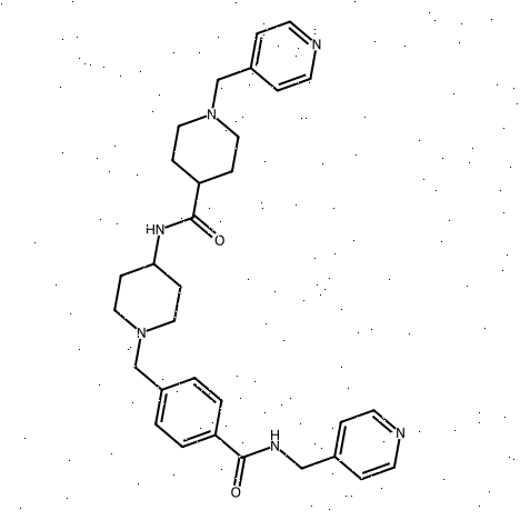 O=C(NCc1ccncc1)c1ccc(CN2CCC(NC(=O)C3CCN(Cc4ccncc4)CC3)CC2)cc1